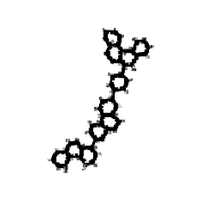 c1ccc2c(c1)ccc1c(-c3ccc(-c4ccc5c(ccc6cc(-c7ccnc8c7ccc7cccnc78)ccc65)c4)cc3)nc3ccccc3c12